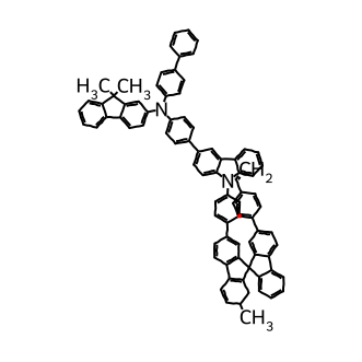 C=Cc1ccc(-c2ccc3c(c2)C2(C4=C(C=CC(C)C4)c4ccc(-c5ccc(-n6c7ccccc7c7cc(-c8ccc(N(c9ccc(-c%10ccccc%10)cc9)c9ccc%10c(c9)C(C)(C)c9ccccc9-%10)cc8)ccc76)cc5)cc42)c2ccccc2-3)cc1